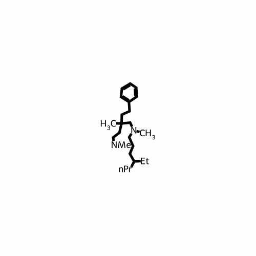 CCCC(CC)CCCN(C)CC(C)(CCNC)CCc1ccccc1